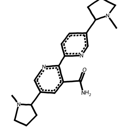 CN1CCCC1c1ccc(-c2ncc(C3CCCN3C)cc2C(N)=O)nc1